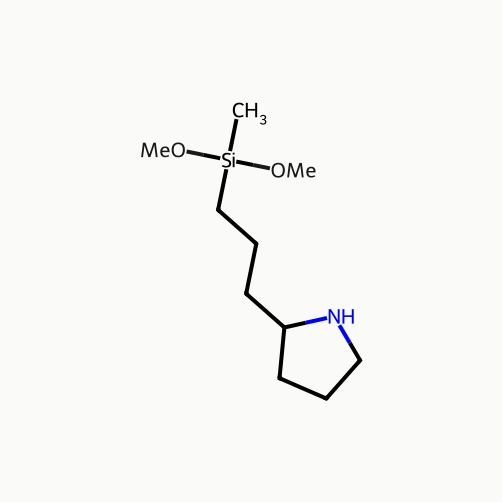 CO[Si](C)(CCCC1CCCN1)OC